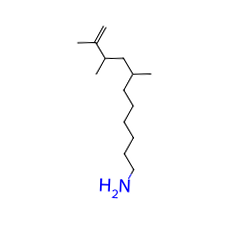 C=C(C)C(C)CC(C)CCCCCCN